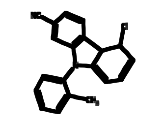 Cc1ccccc1N1C2=CC=CC(Cl)C2c2ccc(C#N)cc21